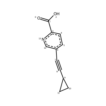 O=C(O)c1ccc(C#CC2CC2)cn1